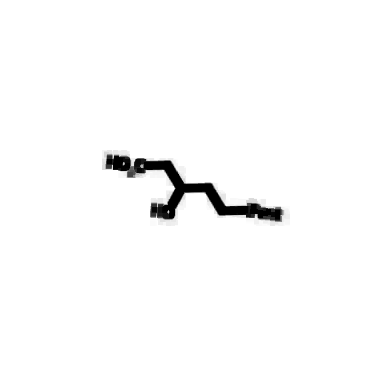 CCCC(C)CCC(O)CC(=O)O